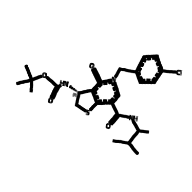 CC(C)C(C)NC(=O)c1cn(Cc2ccc(Cl)cc2)c(=O)c2c1SC[C@@H]2NC(=O)OC(C)(C)C